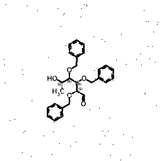 C[C@H](O)[C@@H](OCc1ccccc1)[C@@H](OCc1ccccc1)[C@@H](C=O)OCc1ccccc1